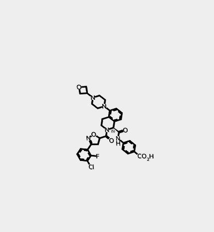 O=C(O)c1ccc(NC(=O)[C@@H]2c3cccc(N4CCN(C5COC5)CC4)c3CCN2C(=O)C2CC(c3cccc(Cl)c3F)=NO2)cc1